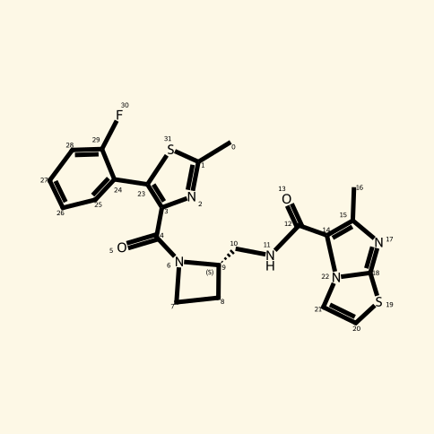 Cc1nc(C(=O)N2CC[C@H]2CNC(=O)c2c(C)nc3sccn23)c(-c2ccccc2F)s1